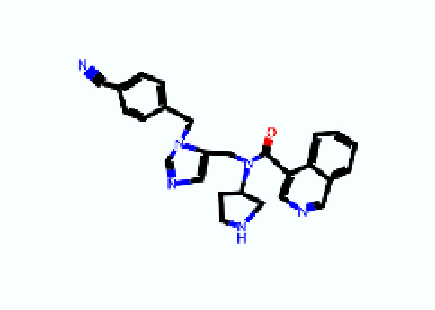 N#Cc1ccc(Cn2cncc2CN(C(=O)c2cncc3ccccc23)C2CCNC2)cc1